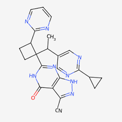 CC(c1cnc(C2CC2)nc1)C1(c2nc3[nH]nc(C#N)c3c(=O)[nH]2)CCC1c1ncccn1